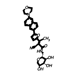 C/C(=C(/C#N)C(=O)NC[C@H]1OC[C@H](O)[C@@H](O)[C@@H]1O)c1ccc(-c2ccc3cc(N4CCOCC4)ccc3c2)o1